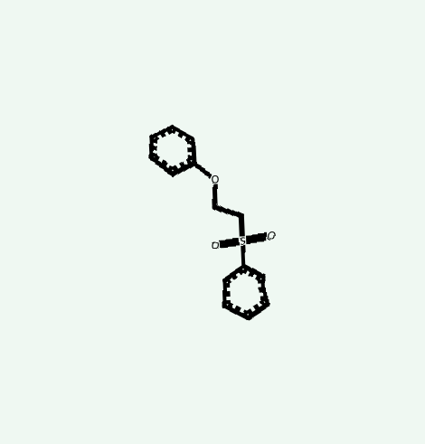 O=S(=O)(CCOc1ccccc1)c1ccccc1